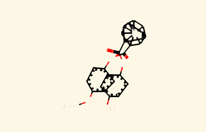 CCCCCCCCCCOc1ccc(OC(=O)[C]23[CH]4[CH]5[CH]6[CH]2[Fe]56432789[CH]3[CH]2[CH]7[C]8(C(=O)Oc2ccc(O)cc2)[CH]39)cc1